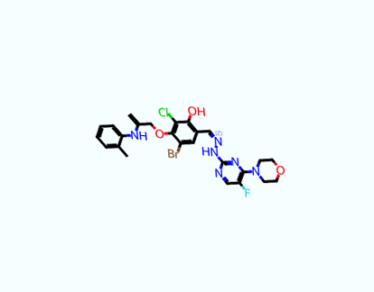 C=C(COc1c(Br)cc(/C=N\Nc2ncc(F)c(N3CCOCC3)n2)c(O)c1Cl)Nc1ccccc1C